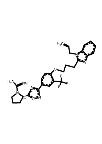 C=CCn1c(CCCOc2ccc(-c3noc([C@@H]4CCCN4C(=N)N)n3)cc2C(F)(F)F)nc2ccccc21